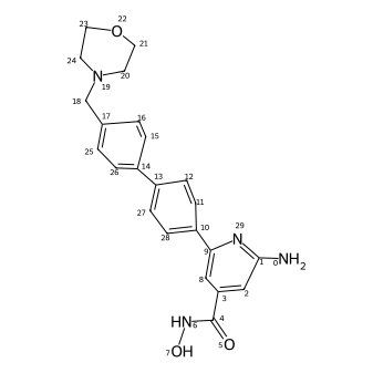 Nc1cc(C(=O)NO)cc(-c2ccc(-c3ccc(CN4CCOCC4)cc3)cc2)n1